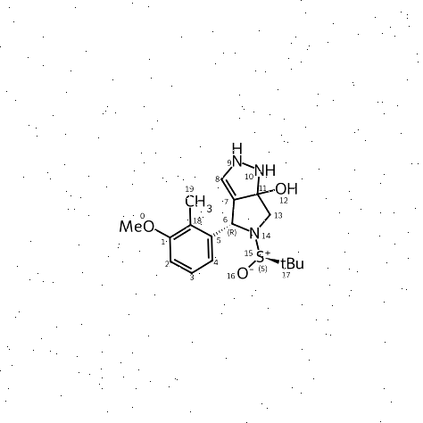 COc1cccc([C@@H]2C3=CNNC3(O)CN2[S@+]([O-])C(C)(C)C)c1C